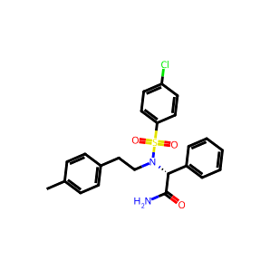 Cc1ccc(CCN([C@@H](C(N)=O)c2ccccc2)S(=O)(=O)c2ccc(Cl)cc2)cc1